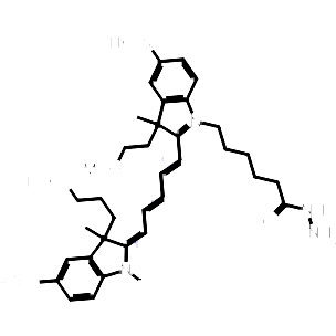 CCN1/C(=C/C=C/C=C/C2=[N+](CCCCCC(=O)NN)c3ccc(S(=O)(=O)O)cc3C2(C)CCOC)C(C)(CCCS(=O)(=O)O)c2cc(S(=O)(=O)O)ccc21